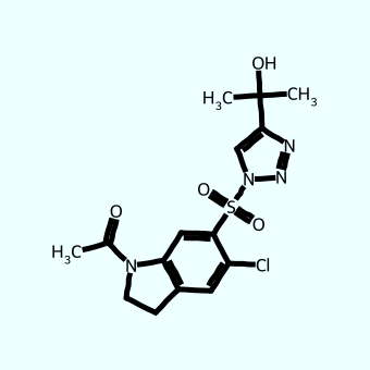 CC(=O)N1CCc2cc(Cl)c(S(=O)(=O)n3cc(C(C)(C)O)nn3)cc21